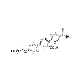 CCOC(=O)COc1ccc(C(=O)CC(C(=O)O)C(=O)c2ccc(C(N)=S)cc2)cc1